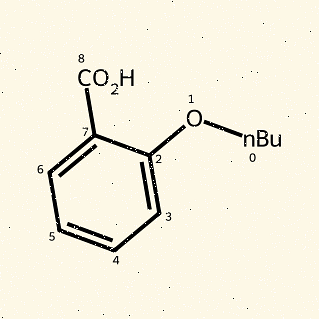 CCCCOc1ccccc1C(=O)O